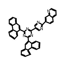 c1cnc2cc(-c3ncc(-c4nc(-c5cc6ccccc6c6ccccc56)nc(-c5cc6ccccc6c6ccccc56)n4)cn3)ccc2c1